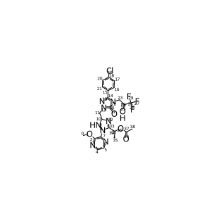 COc1nccnc1N1NC(Cn2nc(-c3ccc(Cl)cc3)n(C[C@H](O)C(F)(F)F)c2=O)N=C1[C@H](C)OC(C)=O